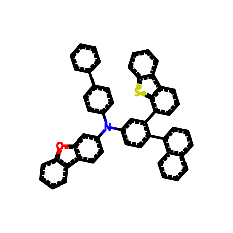 c1ccc(-c2ccc(N(c3ccc(-c4cccc5ccccc45)c(-c4cccc5c4sc4ccccc45)c3)c3ccc4c(c3)oc3ccccc34)cc2)cc1